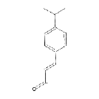 CC(C)c1ccc(C=C[C]=O)cc1